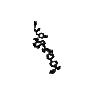 CN(c1ncnc2c1ccn2C(=O)Nc1ccc(C2CCN(C(=O)O)CC2)cc1)[C@H]1CNCC[C@@H]1CC(=O)CC#N